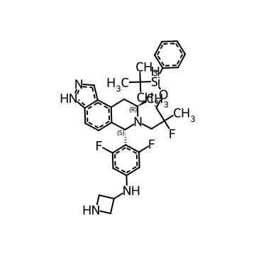 C[C@@H]1Cc2c(ccc3[nH]ncc23)[C@@H](c2c(F)cc(NC3CNC3)cc2F)N1CC(C)(F)CO[SiH](c1ccccc1)C(C)(C)C